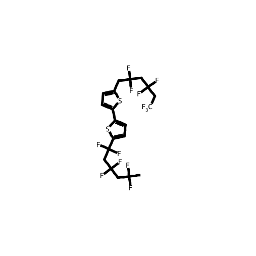 CC(F)(F)CC(F)(F)CC(F)(F)c1ccc(-c2ccc(CC(F)(F)CC(F)(F)CC(F)(F)F)s2)s1